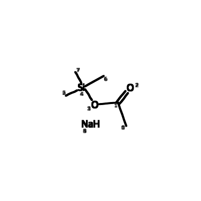 CC(=O)O[Si](C)(C)C.[NaH]